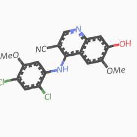 COc1cc2c(Nc3cc(OC)c(Cl)cc3Cl)c(C#N)cnc2cc1O